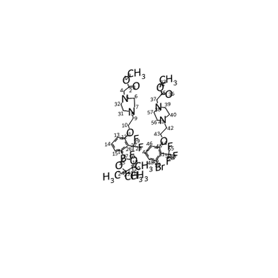 COC(=O)CN1CCN(CCOc2cccc(B3OC(C)(C)C(C)(C)O3)c2C(F)(F)F)CC1.COC(=O)CN1CCN(CCOc2cccc(Br)c2C(F)(F)F)CC1